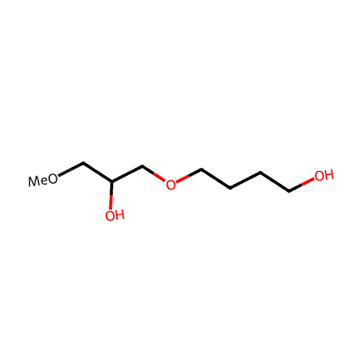 COCC(O)COCCCCO